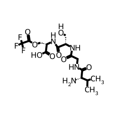 CC(C)[C@H](N)C(=O)NCC(=O)N[C@@H](CO)C(=O)N[C@@H](COC(=O)C(F)(F)F)C(=O)O